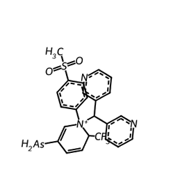 CS(=O)(=O)c1ccc([N+]2(C(c3cccnc3)c3cccnc3)C=C([AsH2])C=CC2C(F)(F)F)cc1